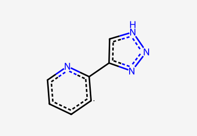 [c]1cccnc1-c1c[nH]nn1